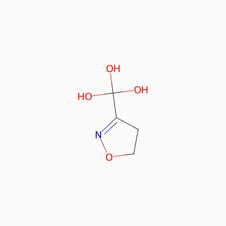 OC(O)(O)C1=NOCC1